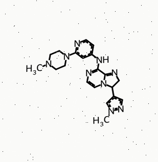 CN1CCN(c2cc(NC3=NC=CN4C3=NCC4c3cnn(C)c3)ccn2)CC1